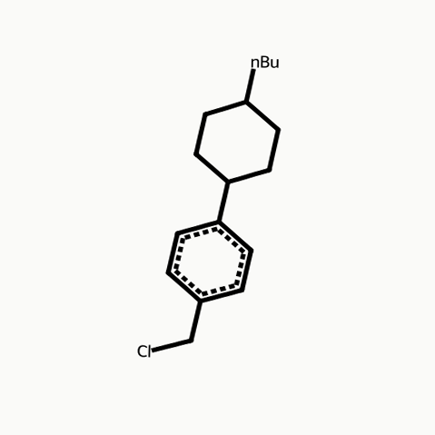 CCCCC1CCC(c2ccc(CCl)cc2)CC1